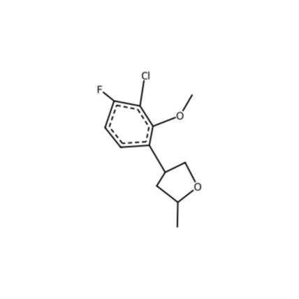 COc1c(C2COC(C)C2)ccc(F)c1Cl